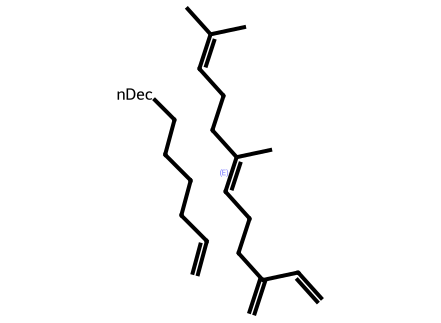 C=CC(=C)CC/C=C(\C)CCC=C(C)C.C=CCCCCCCCCCCCCCC